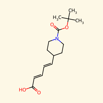 CC(C)(C)OC(=O)N1CCC(C=CC=CC(=O)O)CC1